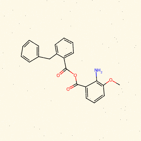 COc1cccc(C(=O)OC(=O)c2ccccc2Cc2ccccc2)c1N